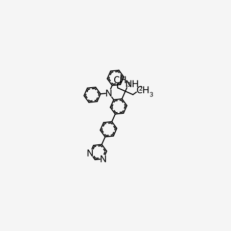 CCC(N)(CC)c1ccc(-c2ccc(-c3cncnc3)cc2)cc1N(c1ccccc1)c1ccccc1